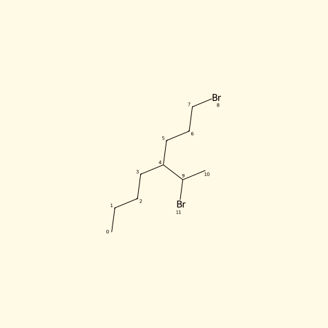 CCCCC(CCCBr)C(C)Br